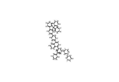 c1ccc(-c2cccc(-c3cc(-c4ccc(-c5ccc(-c6ccc7c(c6)C(c6ccccc6)(c6ccccc6)c6ccccc6-7)cc5)c5ccccc45)nc(-c4ccccc4)n3)c2)cc1